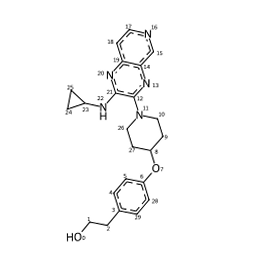 OCCc1ccc(OC2CCN(c3nc4cnccc4nc3NC3CC3)CC2)cc1